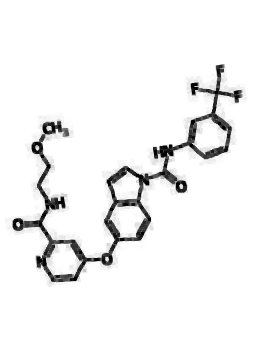 COCCNC(=O)c1cc(Oc2ccc3c(ccn3C(=O)Nc3cccc(C(F)(F)F)c3)c2)ccn1